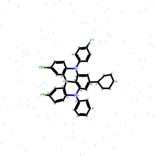 Fc1ccc(N2c3ccc(F)cc3B3c4cc(F)ccc4N(c4ccccc4)c4cc(C5CCCCC5)cc2c43)cc1